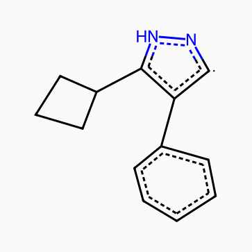 [c]1n[nH]c(C2CCC2)c1-c1ccccc1